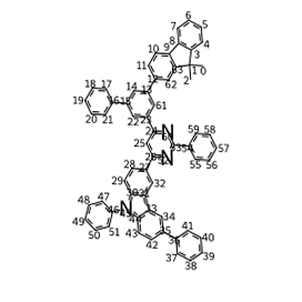 CC1(C)c2ccccc2-c2ccc(-c3cc(-c4ccccc4)cc(-c4cc(-c5ccc6c(c5)c5cc(-c7ccccc7)ccc5n6-c5ccccc5)nc(-c5ccccc5)n4)c3)cc21